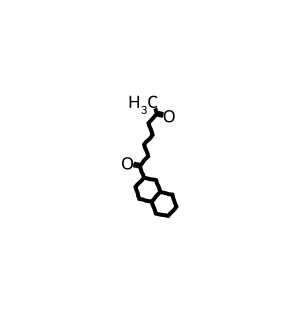 CC(=O)CCCCC(=O)C1CCC2CCCCC2C1